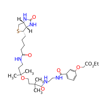 CCOC(=O)COc1cccc(C(=O)NCCNC(=O)C(C)(C)CCOC(C)(C)CCNC(=O)CCCC[C@@H]2SC[C@@H]3NC(=O)N[C@@H]32)c1